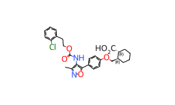 Cc1noc(-c2ccc(OC[C@@H]3CCCC[C@H]3C(=O)O)cc2)c1NC(=O)OCCc1ccccc1Cl